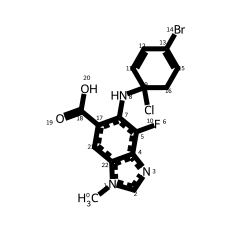 Cn1cnc2c(F)c(NC3(Cl)C=CC(Br)=CC3)c(C(=O)O)cc21